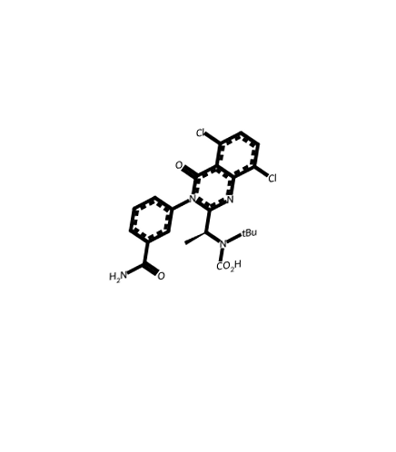 C[C@@H](c1nc2c(Cl)ccc(Cl)c2c(=O)n1-c1cccc(C(N)=O)c1)N(C(=O)O)C(C)(C)C